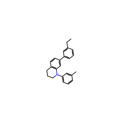 CCc1cccc(-c2ccc3c(c2)N(c2cccc(C)c2)CCC3)c1